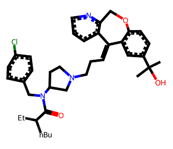 CCCCC(CC)C(=O)N(Cc1ccc(Cl)cc1)C1CCN(CCC=C2c3cc(C(C)(C)O)ccc3OCc3ncccc32)C1